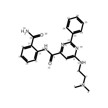 CN(C)CCNc1cc(C(=O)Nc2ccccc2C(N)=O)nc(-c2ccccc2)n1